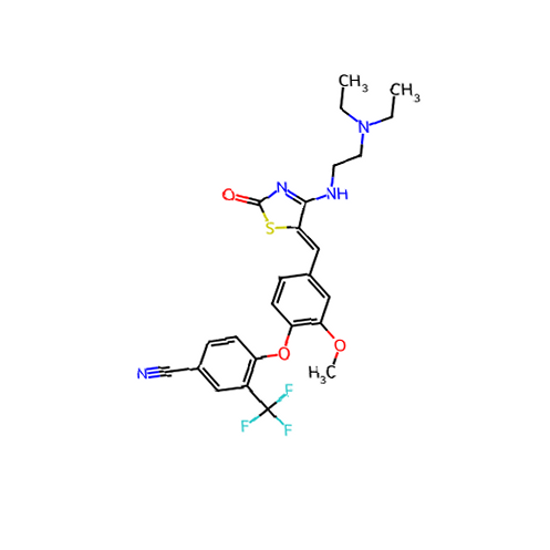 CCN(CC)CCNC1=NC(=O)S/C1=C\c1ccc(Oc2ccc(C#N)cc2C(F)(F)F)c(OC)c1